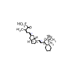 CC(C/C=C1\C[C@@H]2CC[C@H](/C=C/[C@@H](O[Si](C)(C)C(C)(C)C)C3CCCCC3)[C@H]2C1)C(=O)C(=O)O